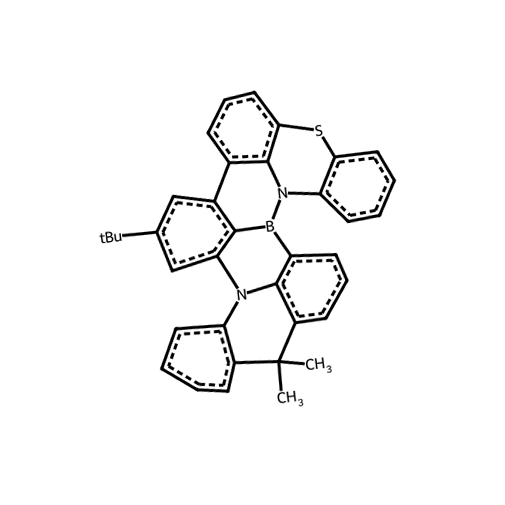 CC(C)(C)c1cc2c3c(c1)N1c4ccccc4C(C)(C)c4cccc(c41)B3N1c3ccccc3Sc3cccc-2c31